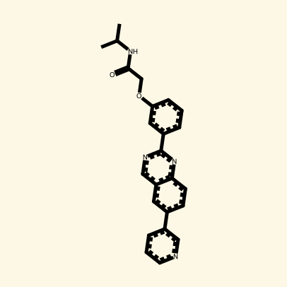 CC(C)NC(=O)COc1cccc(-c2ncc3cc(-c4cccnc4)ccc3n2)c1